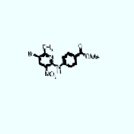 COC(=O)c1ccc(Nc2nc(C)c(Br)cc2[N+](=O)[O-])cc1